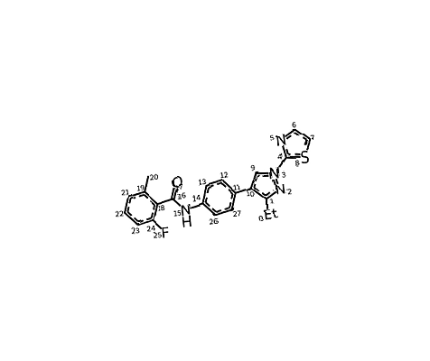 CCc1nn(-c2nccs2)cc1-c1ccc(NC(=O)c2c(C)cccc2F)cc1